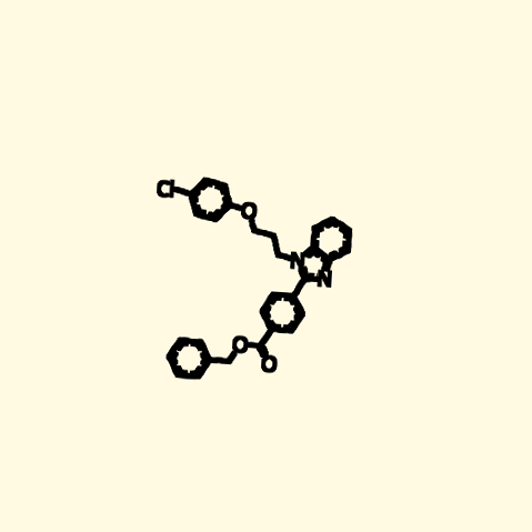 O=C(OCc1ccccc1)c1ccc(-c2nc3ccccc3n2CCCOc2ccc(Cl)cc2)cc1